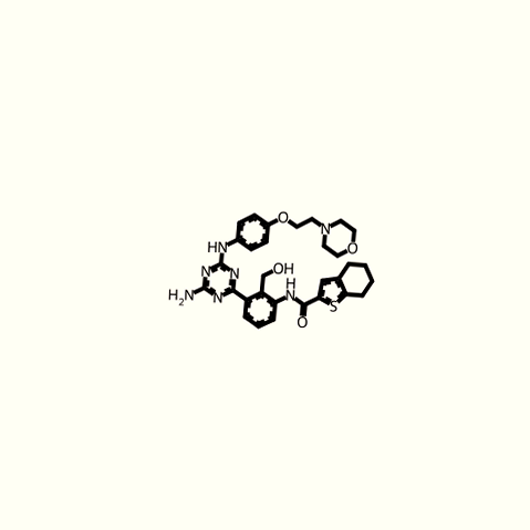 Nc1nc(Nc2ccc(OCCN3CCOCC3)cc2)nc(-c2cccc(NC(=O)c3cc4c(s3)CCCC4)c2CO)n1